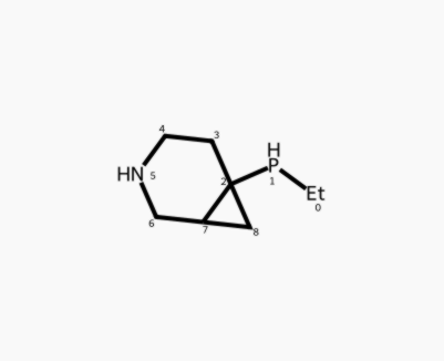 CCPC12CCNCC1C2